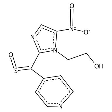 O=S=C(c1ccncc1)c1ncc([N+](=O)[O-])n1CCO